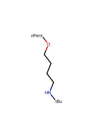 CCCCCOCCCCNC(C)(C)C